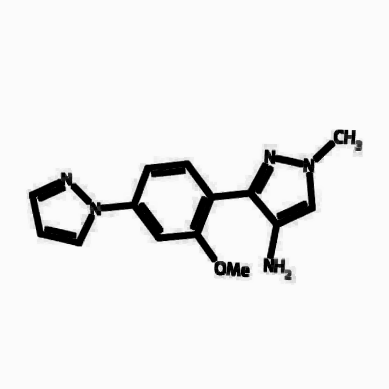 COc1cc(-n2cccn2)ccc1-c1nn(C)cc1N